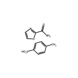 Cc1ccc(S(=O)(=O)O)cc1.NC(=O)c1ncco1